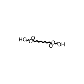 O=C(CCCCCCCCC(=O)OCCO)OCCO